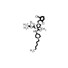 CCCCCCN1CCC(NC(=O)[C@@]2(CC(=O)OC(C)(C)C)CN(Cc3c(Cl)cccc3Cl)C[C@H]2C)CC1